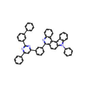 c1ccc(-c2cccc(-c3nc(-c4ccccc4)cc(-c4cccc(-c5nc6ccccc6c6c5ccc5c6c6ccccc6n5-c5ccccc5)c4)n3)c2)cc1